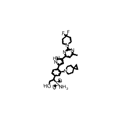 Cc1cc(-c2cc(-c3ccc(C(CO)S(N)(=O)=O)cc3N3CCC4(CC3)CC4)n[nH]2)nc(N2CCC(F)(F)CC2)n1